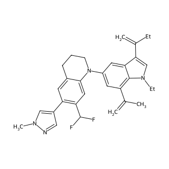 C=C(CC)c1cn(CC)c2c(C(=C)C)cc(N3CCCc4cc(-c5cnn(C)c5)c(C(F)F)cc43)cc12